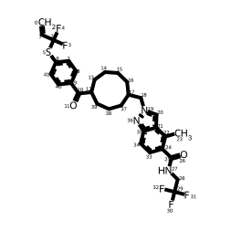 C=CC(F)(F)Sc1ccc(C(=O)C2CCCCC(Cn3cc4c(C)c(C(=O)NCC(F)(F)F)ccc4n3)CCC2)cc1